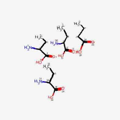 CCC(N)C(=O)O.CCC(N)C(=O)O.CCC(N)C(=O)O.CCCC(=O)O